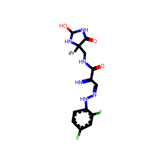 CC(C)C1(CNC(=O)C(=N)/C=N\Nc2ccc(F)cc2F)NC(O)NC1=O